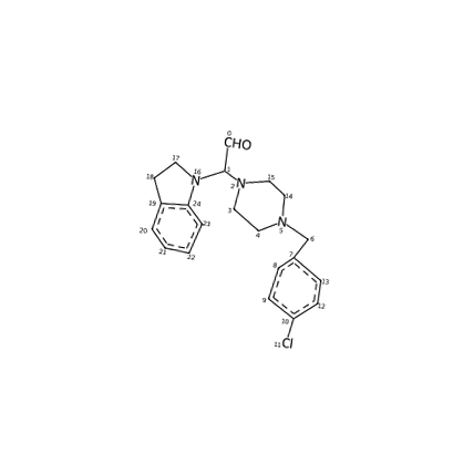 O=CC(N1CCN(Cc2ccc(Cl)cc2)CC1)N1CCc2ccccc21